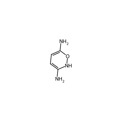 NC1=CC=C(N)ON1